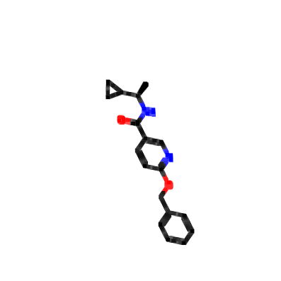 C[C@@H](NC(=O)c1ccc(OCc2ccccc2)nc1)C1CC1